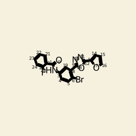 O=C(Nc1ccc(Br)c(-c2nnc(-c3ccco3)o2)c1)c1ccccc1F